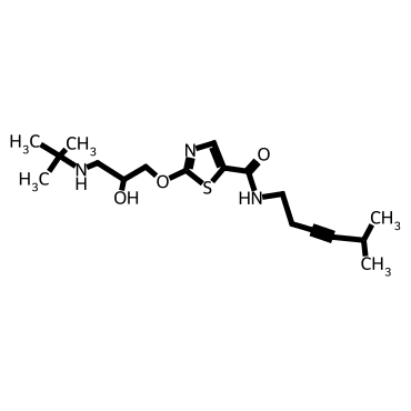 CC(C)C#CCCNC(=O)c1cnc(OCC(O)CNC(C)(C)C)s1